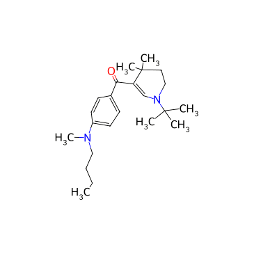 CCCCN(C)c1ccc(C(=O)C2=CN(C(C)(C)C)CCC2(C)C)cc1